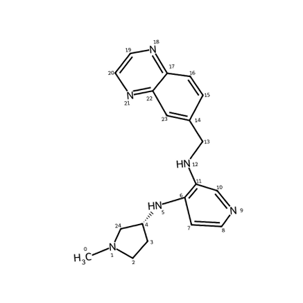 CN1CC[C@@H](Nc2ccncc2NCc2ccc3nccnc3c2)C1